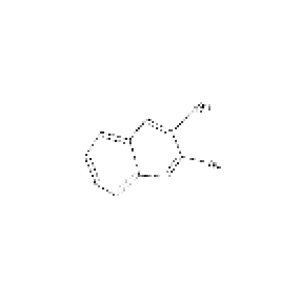 CCCCc1cc2ccccc2cc1C(C)=O